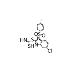 Cc1ccc(S(=O)(=O)n2c(SC(=N)S)nc3cc(Cl)ccc32)cc1